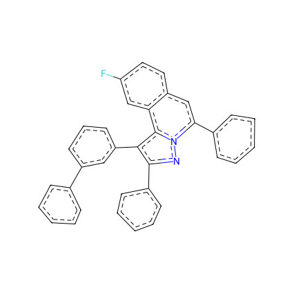 Fc1ccc2cc(-c3ccccc3)n3nc(-c4ccccc4)c(-c4cccc(-c5ccccc5)c4)c3c2c1